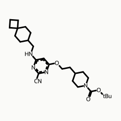 CC(C)(C)OC(=O)N1CCC(CCOc2cc(NCC3CCC4(CCC4)CC3)nc(C#N)n2)CC1